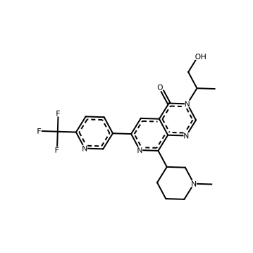 CC(CO)n1cnc2c(C3CCCN(C)C3)nc(-c3ccc(C(F)(F)F)nc3)cc2c1=O